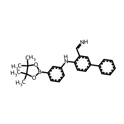 CC1(C)OB(c2cccc(Nc3ccc(-c4ccccc4)cc3C=N)c2)OC1(C)C